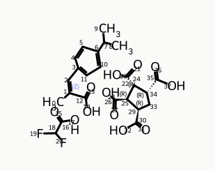 C/C(=C/c1ccc(C(C)C)cc1)C(=O)O.O=C(O)C(F)F.O=C(O)[C@H]1[C@H](C(=O)O)[C@H](C(=O)O)C[C@H]1C(=O)O